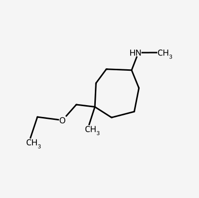 CCOCC1(C)CCCC(NC)CC1